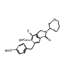 COc1ccc(Cc2cc3c(c(F)c2OC)CN(C2CCCOC2)C3=O)cc1